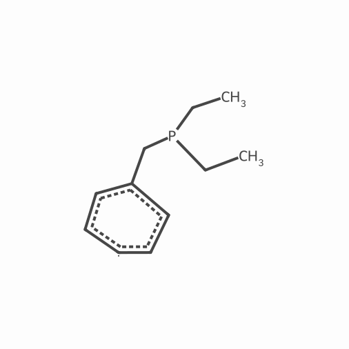 CCP(CC)Cc1cc[c]cc1